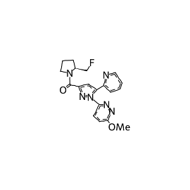 COc1ccc(-n2nc(C(=O)N3CCC[C@H]3CF)cc2-c2ccccn2)nn1